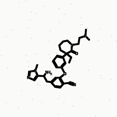 CCC1(c2cccc(Oc3cc(CC(N)c4cncn4C)ccc3C#N)c2)CCCCN(CCN(C)C)C1=O